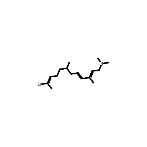 CCC(C)=CCCC(C)CC=CC(C)=CCN(C)C